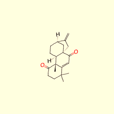 C=C1C[C@@]23C[C@H]1CC[C@@H]2[C@@]1(C)C(=O)CCC(C)(C)C1=CC3=O